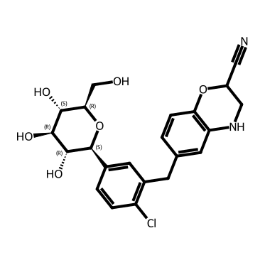 N#CC1CNc2cc(Cc3cc([C@@H]4O[C@H](CO)[C@@H](O)[C@H](O)[C@H]4O)ccc3Cl)ccc2O1